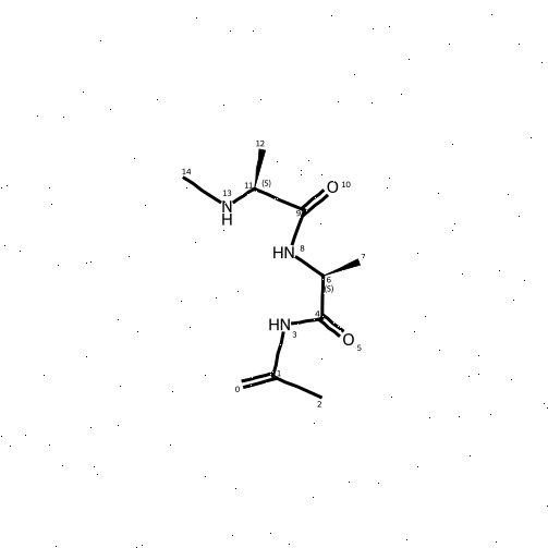 C=C(C)NC(=O)[C@H](C)NC(=O)[C@H](C)NC